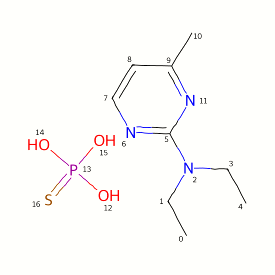 CCN(CC)c1nccc(C)n1.OP(O)(O)=S